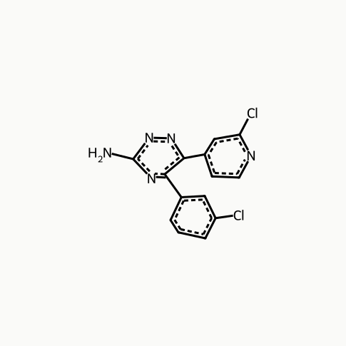 Nc1nnc(-c2ccnc(Cl)c2)c(-c2cccc(Cl)c2)n1